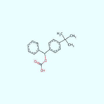 CC(C)(C)c1ccc(C(OC(=O)O)c2ccccc2)cc1